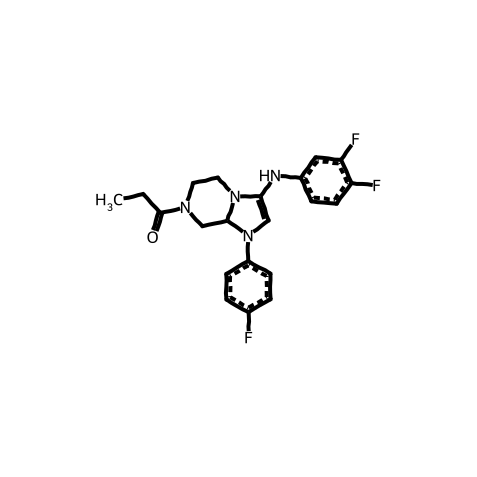 CCC(=O)N1CCN2C(Nc3ccc(F)c(F)c3)=CN(c3ccc(F)cc3)C2C1